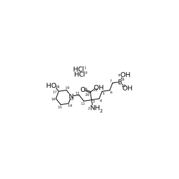 Cl.Cl.NC(CCCCB(O)O)(CCN1CCCC(O)C1)C(=O)O